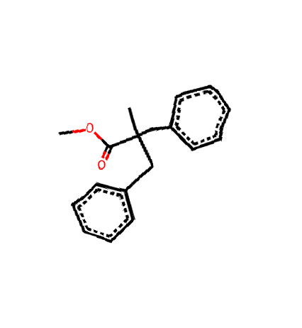 COC(=O)C(C)(Cc1ccccc1)c1ccccc1